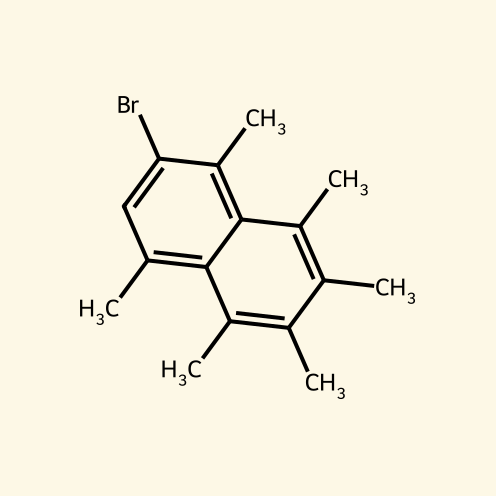 Cc1c(C)c(C)c2c(C)c(Br)cc(C)c2c1C